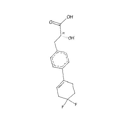 O=C(O)[C@H](O)Cc1ccc(C2=CCC(F)(F)CC2)cc1